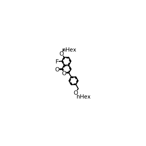 CCCCCCOCc1ccc(-c2cc3ccc(OCCCCCC)c(F)c3c(=O)o2)cc1